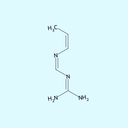 C/C=C\N=C/N=C(N)N